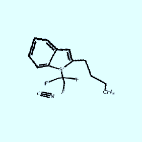 CCCCc1cc2ccccc2[s+]1C(F)(F)F.[C-]#N